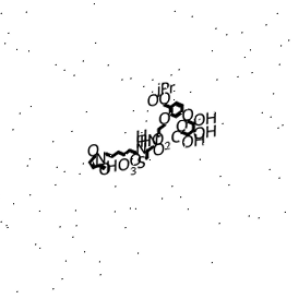 CC(C)C(=O)OCc1ccc(O[C@@H]2O[C@H](C(=O)O)[C@@H](O)[C@H](O)[C@H]2O)cc1OCCCNC(=O)C(CS(=O)(=O)O)NC(=O)CCCCCN1C(=O)C=CC1=O